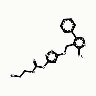 Cc1onc(-c2ccccc2)c1COc1cc(OC(=O)NCCO)on1